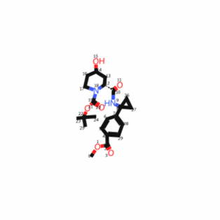 COC(=O)c1ccc(C2(NC(=O)[C@H]3CC(O)CCN3C(=O)OC(C)(C)C)CC2)cc1